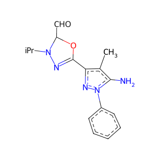 Cc1c(C2=NN(C(C)C)C(C=O)O2)nn(-c2ccccc2)c1N